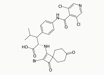 CC(C)C(c1ccc(NC(=O)c2c(Cl)cncc2Cl)cc1)[C@H](NC1=C(Br)C(=O)C12CCC(=O)CC2)C(=O)O